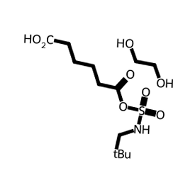 CC(C)(C)CNS(=O)(=O)OC(=O)CCCCC(=O)O.OCCO